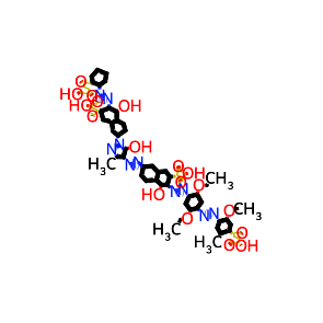 CCOc1cc(/N=N/c2c(S(=O)(=O)O)cc3cc(/N=N/c4c(C)nn(-c5ccc6c(O)c(/N=N/c7ccccc7S(=O)(=O)O)c(S(=O)(=O)O)cc6c5)c4O)ccc3c2O)c(OCC)cc1/N=N/c1cc(C)c(S(=O)(=O)O)cc1OC